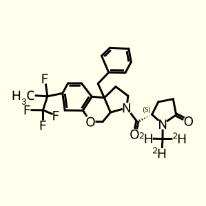 [2H]C([2H])([2H])N1C(=O)CC[C@H]1C(=O)N1CCC2(Cc3ccccc3)c3ccc(C(C)(F)C(F)(F)F)cc3OCC12